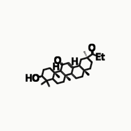 CCC(=O)[C@@]1(C)CC[C@]2(C)CCC3C(=CC(=O)[C@H]4[C@@]3(C)CCC3C(C)(C)[C@@H](O)CC[C@@]34C)[C@H]2C1